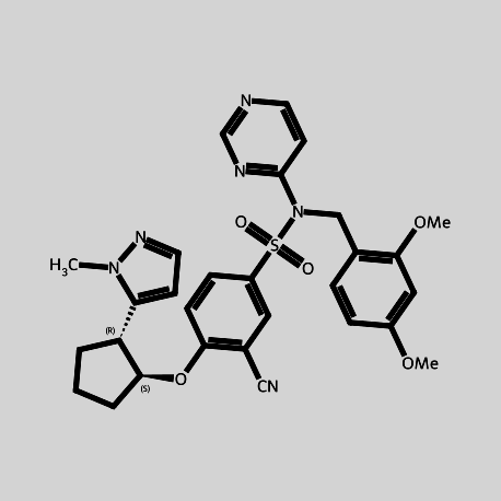 COc1ccc(CN(c2ccncn2)S(=O)(=O)c2ccc(O[C@H]3CCC[C@@H]3c3ccnn3C)c(C#N)c2)c(OC)c1